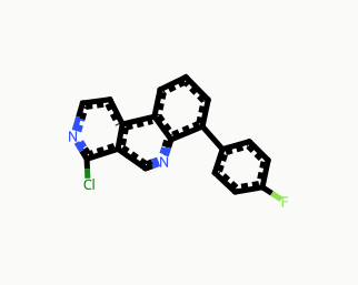 Fc1ccc(-c2cccc3c2ncc2c(Cl)nccc23)cc1